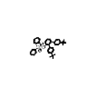 CC(C)(C)c1ccc(-c2cccc(OP(=O)(Oc3ccccc3)Oc3ccccc3)c2-c2ccc(C(C)(C)C)cc2)cc1